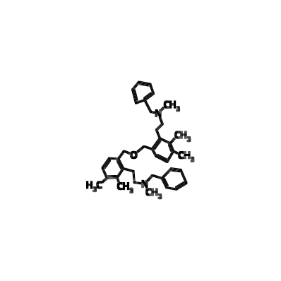 Cc1ccc(COCc2ccc(C)c(C)c2CCN(C)Cc2ccccc2)c(CCN(C)Cc2ccccc2)c1C